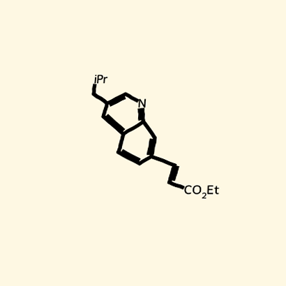 CCOC(=O)/C=C/c1ccc2cc(CC(C)C)cnc2c1